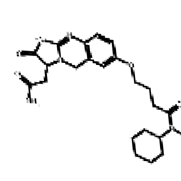 CN(C(=O)CCCOc1ccc2c(c1)CN1C(=N2)NC(=O)C1CC(N)=O)C1CCCCC1